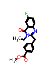 CCn1c(Cc2ccc(C(=O)OC)cc2)nc2ccc(F)cc2c1=O